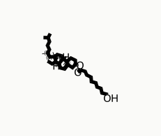 CC(C)CCC[C@@H](C)[C@H]1CC[C@H]2[C@@H]3CC=C4C[C@@H](OC(=O)CCCCCCCCCO)CC[C@]4(C)[C@H]3CC[C@]12C